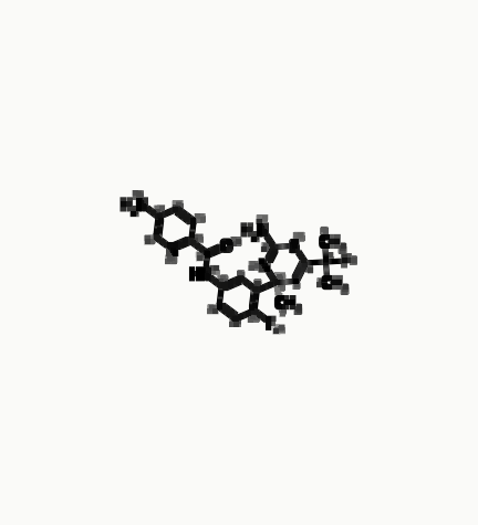 CC(C)(F)C1=C[C@@](C)(c2cc(NC(=O)c3ccc(N)cn3)ccc2F)N=C(N)S1